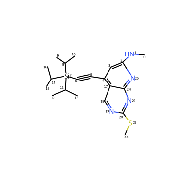 CNc1cc(C#C[Si](C(C)C)(C(C)C)C(C)C)c2cnc(SC)nc2n1